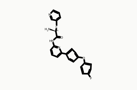 N[C@@H](Cc1cccnc1)C(=O)Nc1cccc(-c2ccc(Oc3ccc(F)cc3)cc2)n1